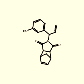 C=CC(c1cccc(O)c1)N1C(=O)C2C3C=CC(C3)C2C1=O